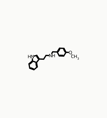 COc1ccc(CNCCc2c[nH]c3ccccc23)cc1